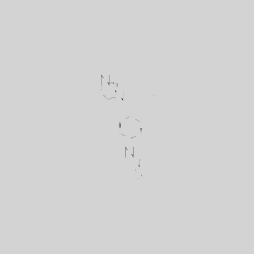 S=C1CCc2cc(C(C3CC3)n3ccnc3)cc3c2N1CC3